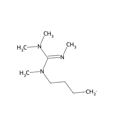 [CH2]CCCN(C)C(=NC)N(C)C